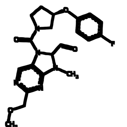 COCc1ncc2c(n1)N(C)C(C=O)N2C(=O)N1CC[C@@H](Oc2ccc(F)cc2)C1